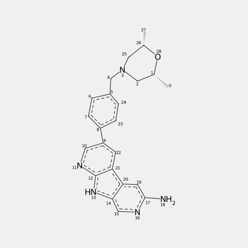 C[C@@H]1CN(Cc2ccc(-c3cnc4[nH]c5cnc(N)cc5c4c3)cc2)C[C@H](C)O1